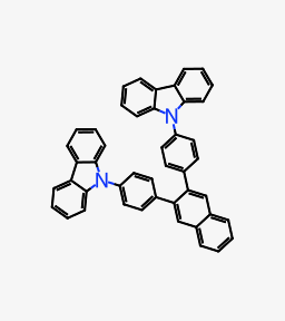 c1ccc2cc(-c3ccc(-n4c5ccccc5c5ccccc54)cc3)c(-c3ccc(-n4c5ccccc5c5ccccc54)cc3)cc2c1